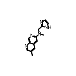 Cc1cnc2cnc(N(C)Cc3ncc[nH]3)cc2c1